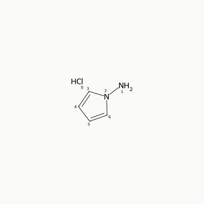 Cl.Nn1cccc1